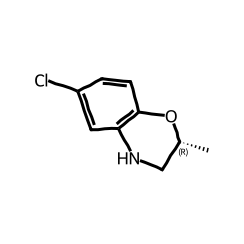 C[C@@H]1CNc2cc(Cl)ccc2O1